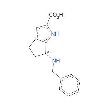 O=C(O)c1cc2c([nH]1)[C@H](NCc1ccccc1)CC2